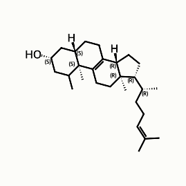 CC(C)=CCC[C@@H](C)[C@H]1CC[C@H]2C3=C(CC[C@]12C)[C@@]1(C)C(C)C[C@H](O)C[C@@H]1CC3